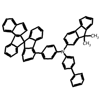 CC1(C)c2ccccc2-c2ccc(N(c3ccc(-c4ccccc4)cc3)c3ccc(-c4cccc5c4-c4ccccc4C54c5ccccc5-c5c4ccc4ccccc54)cc3)cc21